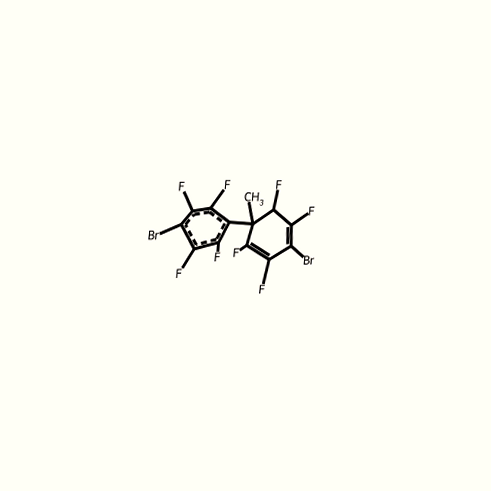 CC1(c2c(F)c(F)c(Br)c(F)c2F)C(F)=C(F)C(Br)=C(F)C1F